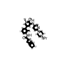 Cc1c(NC(=O)c2cc3c(s2)C2CCC3C2)cccc1-c1cc(Nc2ccc(N3CCN(C(C)C)CC3)nn2)c(=O)n(C)c1